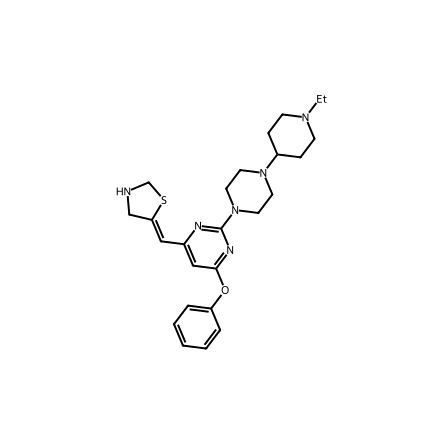 CCN1CCC(N2CCN(c3nc(C=C4CNCS4)cc(Oc4ccccc4)n3)CC2)CC1